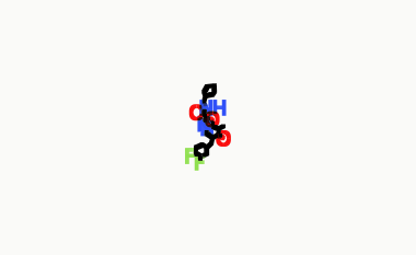 Cc1c(=O)c(Cc2ccc(F)c(F)c2)cn2nc(C(=O)NCc3ccccc3)oc12